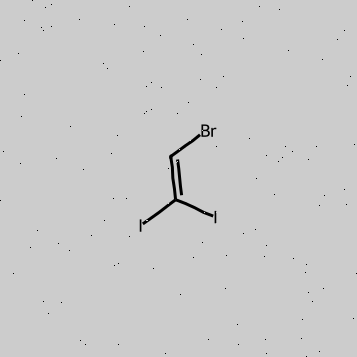 BrC=C(I)I